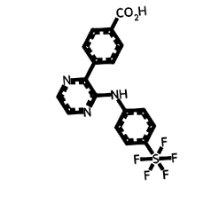 O=C(O)c1ccc(-c2nccnc2Nc2ccc(S(F)(F)(F)(F)F)cc2)cc1